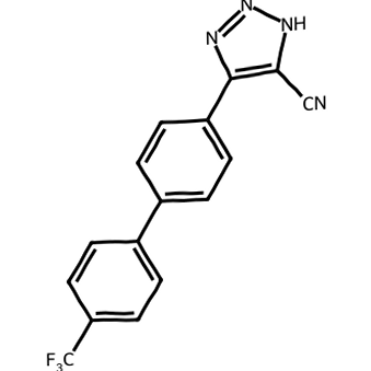 N#Cc1[nH]nnc1-c1ccc(-c2ccc(C(F)(F)F)cc2)cc1